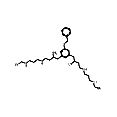 CC(C)CNCCCNCCC(N)Cc1cc(CC(N)CCNCCCNCC(C)C)cc(OCc2ccccc2)c1